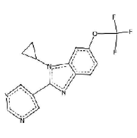 FC(F)(F)Oc1ccc2nc(-c3cncnc3)n(C3CC3)c2c1